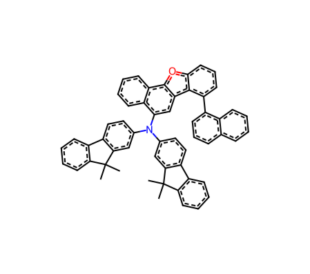 CC1(C)c2ccccc2-c2ccc(N(c3ccc4c(c3)C(C)(C)c3ccccc3-4)c3cc4c(oc5cccc(-c6cccc7ccccc67)c54)c4ccccc34)cc21